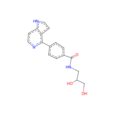 O=C(NCC(O)CO)c1ccc(-c2nccc3[nH]ccc23)cc1